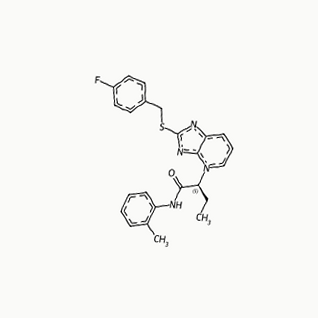 CC[C@@H](C(=O)Nc1ccccc1C)n1cccc2nc(SCc3ccc(F)cc3)nc1-2